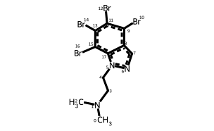 CN(C)CCn1ncc2c(Br)c(Br)c(Br)c(Br)c21